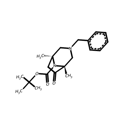 CC(C)(C)OC(=O)N1[C@@]2(C)CC(=O)[C@@]1(C)CN(Cc1ccccc1)C2